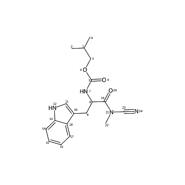 CC(C)COC(=O)NC(Cc1c[nH]c2ccccc12)C(=O)N(C)C#N